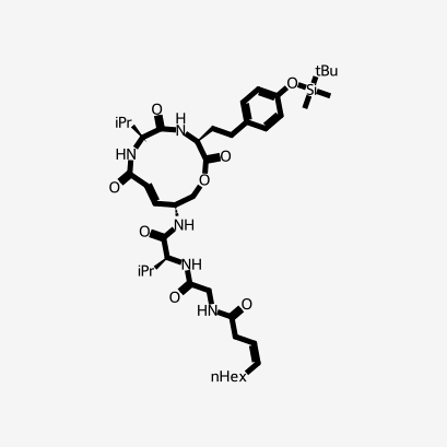 CCCCCC/C=C\CC(=O)NCC(=O)N[C@H](C(=O)N[C@@H]1/C=C/C(=O)N[C@@H](C(C)C)C(=O)N[C@@H](CCc2ccc(O[Si](C)(C)C(C)(C)C)cc2)C(=O)OC1)C(C)C